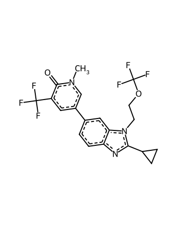 Cn1cc(-c2ccc3nc(C4CC4)n(CCOC(F)(F)F)c3c2)cc(C(F)(F)F)c1=O